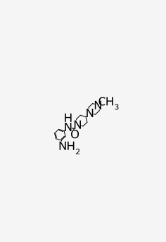 CN1CCN(C2CCN(C(=O)Nc3cccc(N)c3)CC2)CC1